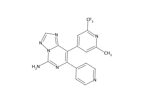 Cc1cc(-c2c(-c3ccncc3)nc(N)n3ncnc23)cc(C(F)(F)F)n1